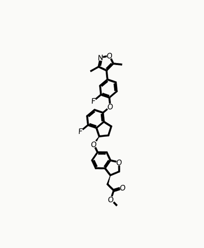 COC(=O)C[C@@H]1COc2cc(O[C@@H]3CCc4c(Oc5ccc(-c6c(C)noc6C)cc5F)ccc(F)c43)ccc21